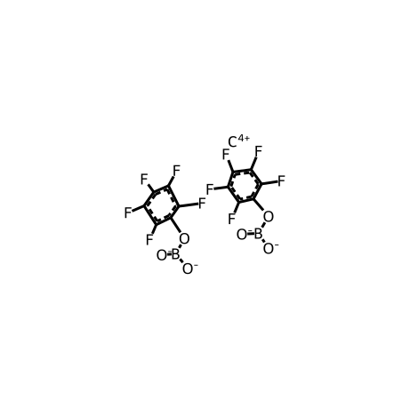 [C+4].[O-]B([O-])Oc1c(F)c(F)c(F)c(F)c1F.[O-]B([O-])Oc1c(F)c(F)c(F)c(F)c1F